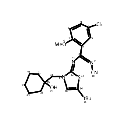 COc1ccc(Cl)cc1C(=NC#N)N=c1sc(C(C)(C)C)cn1CC1(O)CCCCC1